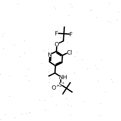 CC(N[S@+]([O-])C(C)(C)C)c1cnc(OCC(C)(F)F)c(Cl)c1